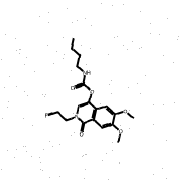 CCCCNC(=O)Oc1cn(CCF)c(=O)c2cc(OC)c(OC)cc12